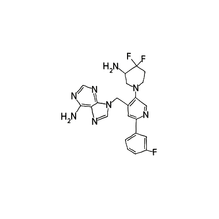 Nc1ncnc2c1ncn2Cc1cc(-c2cccc(F)c2)ncc1N1CCC(F)(F)C(N)C1